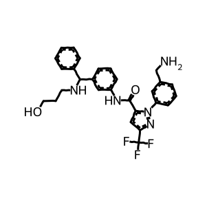 NCc1cccc(-n2nc(C(F)(F)F)cc2C(=O)Nc2cccc(C(NCCCO)c3ccccc3)c2)c1